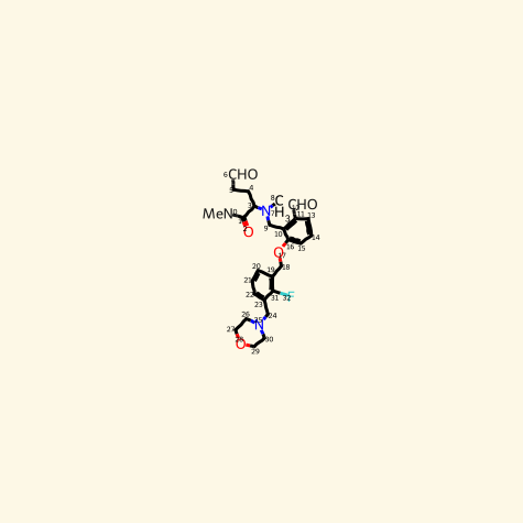 CNC(=O)C(CCC=O)N(C)Cc1c(C=O)cccc1OCc1cccc(CN2CCOCC2)c1F